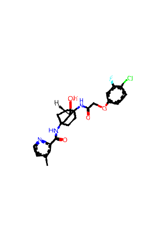 Cc1ccnc(C(=O)NC23CCC(NC(=O)COc4ccc(Cl)c(F)c4)(CC2)[C@@H](O)C3)c1